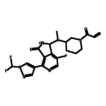 C=CC(=O)N1CCCC(N(C)C2NC(=O)c3c(-c4cnn(C(F)F)c4)ncc(F)c32)C1